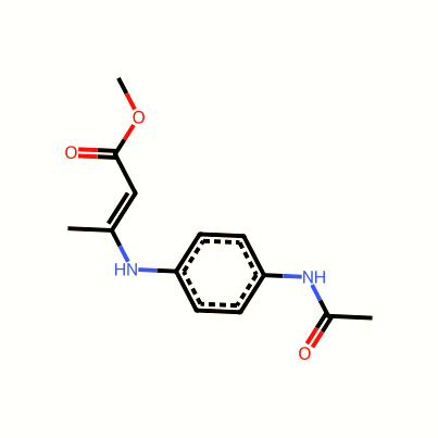 COC(=O)C=C(C)Nc1ccc(NC(C)=O)cc1